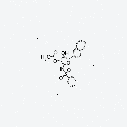 CC(=O)Oc1c(NS(=O)(=O)c2ccccc2)oc(-c2ccc3ccccc3c2)c1O